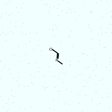 C/N=C/Cl